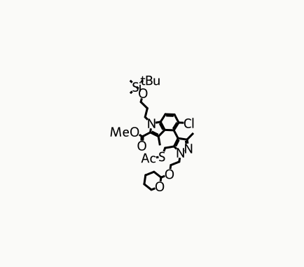 COC(=O)c1c(C)c2c(-c3c(C)nn(CCOC4CCCCO4)c3CSC(C)=O)c(Cl)ccc2n1CCCO[Si](C)(C)C(C)(C)C